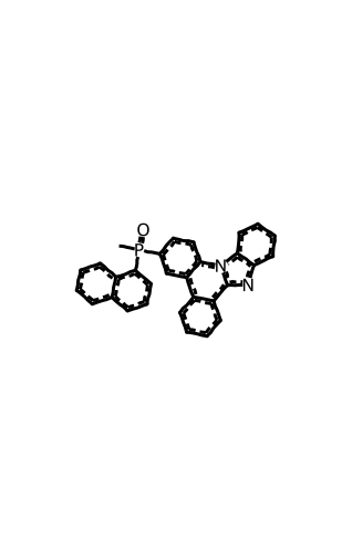 CP(=O)(c1ccc2c(c1)c1ccccc1c1nc3ccccc3n21)c1cccc2ccccc12